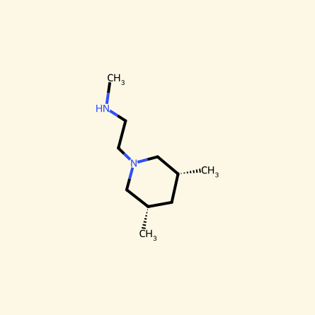 CNCCN1C[C@H](C)C[C@H](C)C1